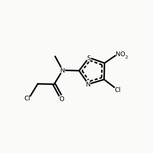 CN(C(=O)CCl)c1nc(Cl)c([N+](=O)[O-])s1